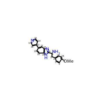 COc1ccc(CC(N)c2nc3cc(-c4ccncc4)ccc3[nH]2)cc1